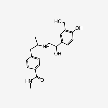 CNC(=O)c1ccc(CC(C)NCC(O)c2ccc(O)c(CO)c2)cc1